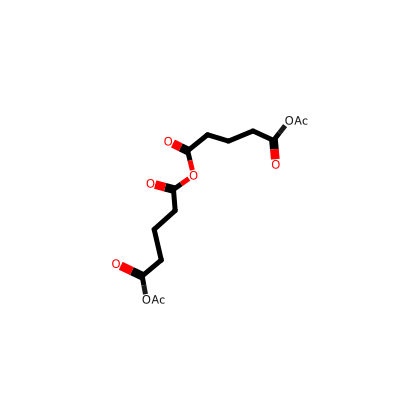 CC(=O)OC(=O)CCCC(=O)OC(=O)CCCC(=O)OC(C)=O